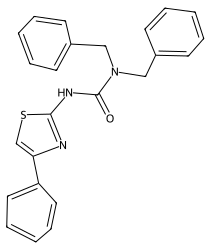 O=C(Nc1nc(-c2ccccc2)cs1)N(Cc1ccccc1)Cc1ccccc1